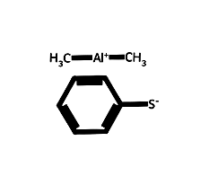 [CH3][Al+][CH3].[S-]c1ccccc1